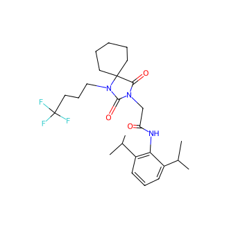 CC(C)c1cccc(C(C)C)c1NC(=O)CN1C(=O)N(CCCC(F)(F)F)C2(CCCCC2)C1=O